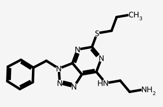 CCCSc1nc(NCCN)c2nnn(Cc3ccccc3)c2n1